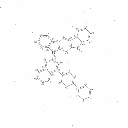 C1=CCCC(C2=CC=C(c3nc(-n4c5c(c6ccccc64)C=C4C(C5)OC5C=CC=CC45)nc4ccccc34)CC2)=C1